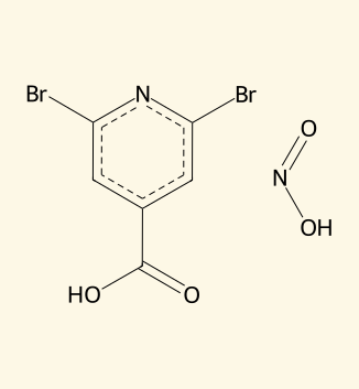 O=C(O)c1cc(Br)nc(Br)c1.O=NO